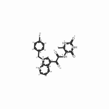 Cc1[nH]c(=O)[nH]c(=O)c1NC(=O)C(=O)c1cn(Cc2ccc(F)cc2)c2ncccc12